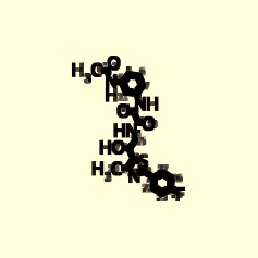 CC(=O)Nc1cccc(NC(=O)C(=O)NCC(O)c2sc(-c3ccc(F)cc3)nc2C)c1